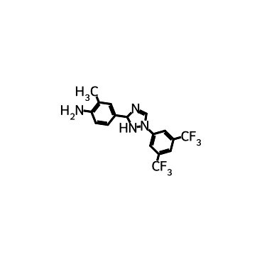 Cc1cc(C2N=CN(c3cc(C(F)(F)F)cc(C(F)(F)F)c3)N2)ccc1N